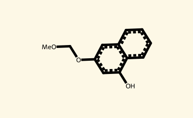 COCOc1cc(O)c2ccccc2c1